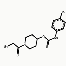 CC(C)c1ccc(NC(=O)OC2CCN(C(=O)CC(C)(C)C)CC2)cc1